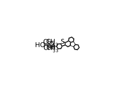 CC(C)(O)C(C)(C)OBc1ccc2c(c1)sc1c3cccc4c3c(cc21)-c1ccccc1-4